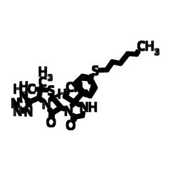 CCCCCCSc1ccc(C2(CC)NCC(=O)N2C2C(=O)N3C(c4nnn[nH]4)C(C)(C)S[C@@H]23)cc1